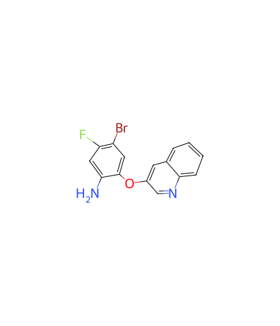 Nc1cc(F)c(Br)cc1Oc1cnc2ccccc2c1